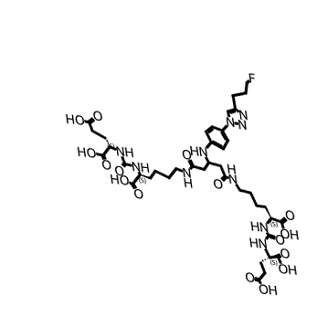 O=C(O)CC[C@H](NC(=O)N[C@@H](CCCCNC(=O)CC(CC(=O)NCCCC[C@H](NC(=O)N[C@@H](CCC(=O)O)C(=O)O)C(=O)O)Nc1ccc(-n2cc(CCCF)nn2)cc1)C(=O)O)C(=O)O